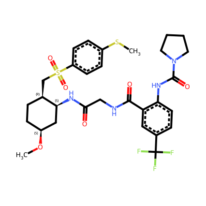 CO[C@H]1CC[C@@H](CS(=O)(=O)c2ccc(SC)cc2)[C@@H](NC(=O)CNC(=O)c2cc(C(F)(F)F)ccc2NC(=O)N2CCCC2)C1